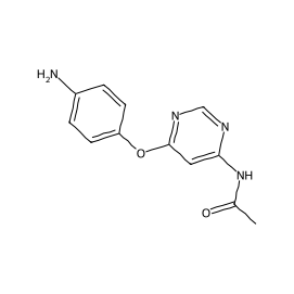 CC(=O)Nc1cc(Oc2ccc(N)cc2)ncn1